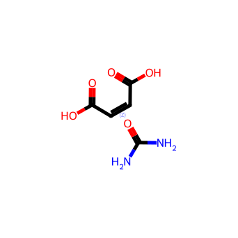 NC(N)=O.O=C(O)/C=C\C(=O)O